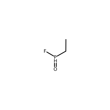 CC[PH](=O)F